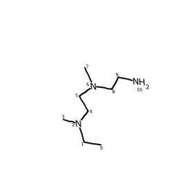 CCN(C)CCN(C)CCN